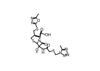 COC1(NC(=O)CSCn2nnnc2C)C(=O)N2C(C(=O)O)=C(CSc3nnc(C)o3)CSC21